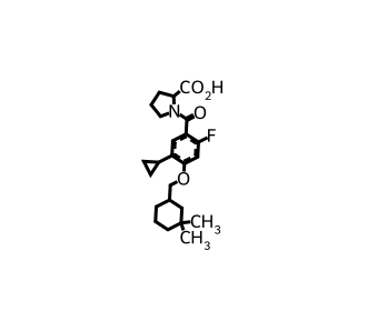 CC1(C)CCCC(COc2cc(F)c(C(=O)N3CCCC3C(=O)O)cc2C2CC2)C1